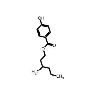 CCCC(C)CCOC(=O)c1ccc(O)cc1